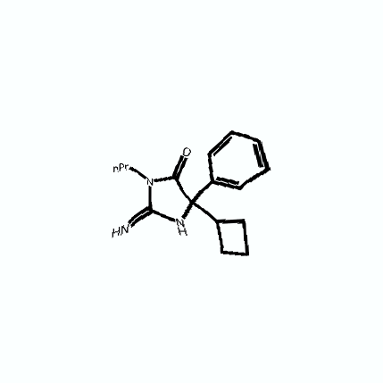 CCCN1C(=N)NC(c2ccccc2)(C2CCC2)C1=O